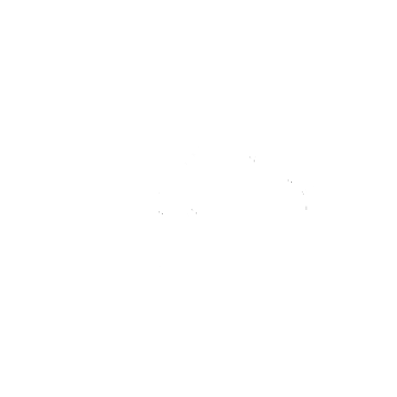 CCS(=O)(=O)c1ccc(Cl)cc1Cn1cnc2c(F)c(CN3CCN(C(=O)O)CC3)c(C(F)(F)F)cc2c1=O